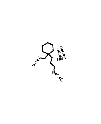 N=C=O.N=C=O.O=C=NCCCC1(CN=C=O)CCCCC1